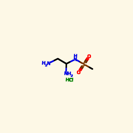 CS(=O)(=O)NC(N)CN.Cl